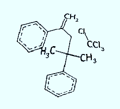 C=C(CC(C)(C)c1ccccc1)c1ccccc1.ClC(Cl)(Cl)Cl